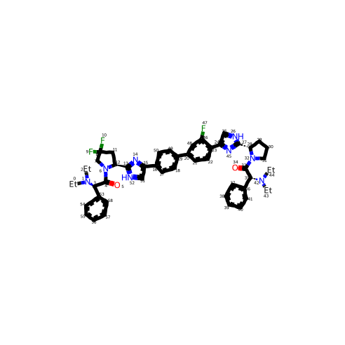 CCN(CC)[C@@H](C(=O)N1CC(F)(F)C[C@H]1c1nc(-c2ccc(-c3ccc(-c4c[nH]c([C@@H]5CCCN5C(=O)[C@@H](c5ccccc5)N(CC)CC)n4)c(F)c3)cc2)c[nH]1)c1ccccc1